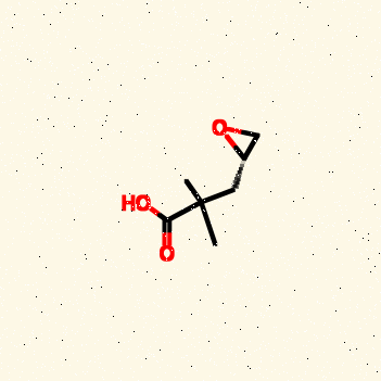 CC(C)(C[C@H]1CO1)C(=O)O